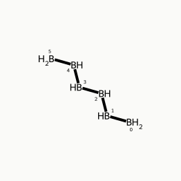 BBBBBB